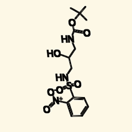 CC(C)(C)OC(=O)NCC(O)CNS(=O)(=O)c1ccccc1[N+](=O)[O-]